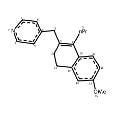 CCCC1=C(Cc2ccncc2)CCc2cc(OC)ccc21